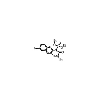 CCOP(=O)(OCC)N(C(=O)OC(C)(C)C)c1nc2ccc(F)cc2cc1OC(C)=O